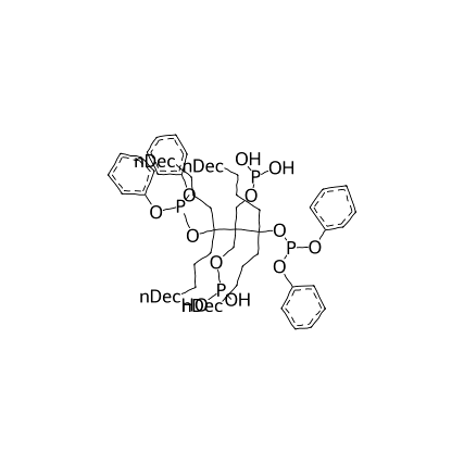 CCCCCCCCCCCCCC(CCCCCCCCCCCCC)(OP(Oc1ccccc1)Oc1ccccc1)C(COP(O)O)(COP(O)O)C(CCCCCCCCCCCCC)(CCCCCCCCCCCCC)OP(Oc1ccccc1)Oc1ccccc1